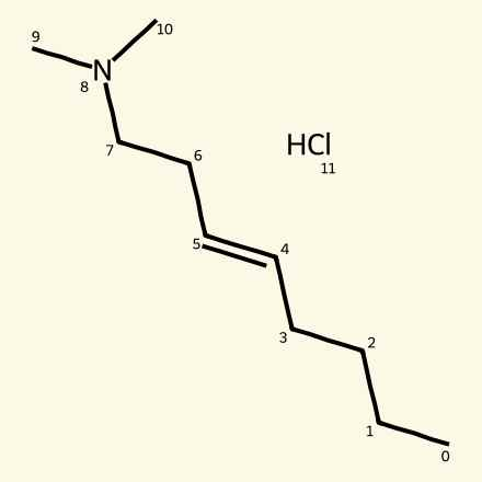 CCCCC=CCCN(C)C.Cl